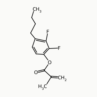 C=C(C)C(=O)Oc1ccc(CCCC)c(F)c1F